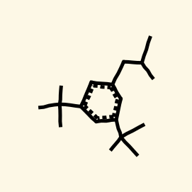 CC(C)Cc1cc(C(C)(C)C)cc(C(C)(C)C)c1